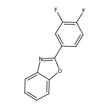 Fc1ccc(-c2nc3cc[c]cc3o2)cc1F